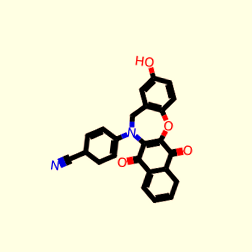 N#CC1C=CC(N2Cc3cc(O)ccc3OC3=C2C(=O)C2=CC=CCC2C3=O)=CC1